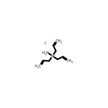 C=CC[N+](N)(CC=C)CC=C.[I-]